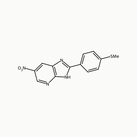 CSc1ccc(-c2nc3cc([N+](=O)[O-])cnc3[nH]2)cc1